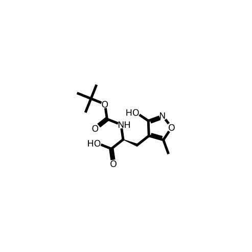 Cc1onc(O)c1C[C@H](NC(=O)OC(C)(C)C)C(=O)O